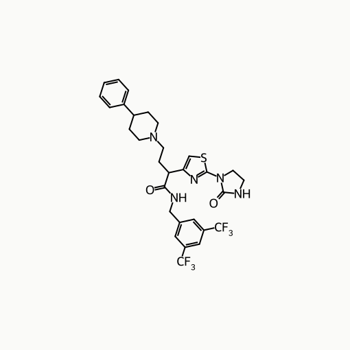 O=C(NCc1cc(C(F)(F)F)cc(C(F)(F)F)c1)C(CCN1CCC(c2ccccc2)CC1)c1csc(N2CCNC2=O)n1